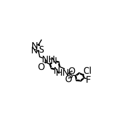 Cc1nnc(CNC(=O)c2cnc(CNS(=O)(=O)c3ccc(F)c(Cl)c3)cn2)s1